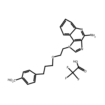 Nc1nc2ccccc2c2c1ncn2CCOCCCc1ccc(C(=O)O)cc1.O=C(O)C(F)(F)F